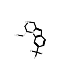 OC[C@@H]1CNCc2cc3ccc(C(F)(F)F)cc3n21